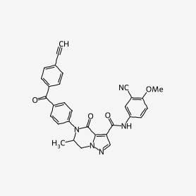 C#Cc1ccc(C(=O)c2ccc(N3C(=O)c4c(C(=O)Nc5ccc(OC)c(C#N)c5)cnn4CC3C)cc2)cc1